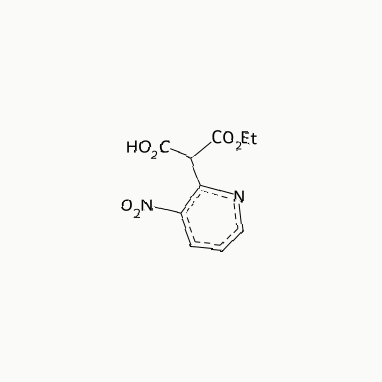 CCOC(=O)C(C(=O)O)c1ncccc1[N+](=O)[O-]